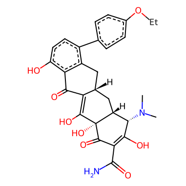 CCOc1ccc(-c2ccc(O)c3c2C[C@@H]2C[C@@H]4[C@H](N(C)C)C(O)=C(C(N)=O)C(=O)[C@@]4(O)C(O)=C2C3=O)cc1